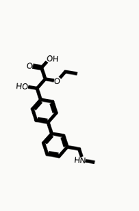 CCOC(C(=O)O)C(O)c1ccc(-c2cccc(CNC)c2)cc1